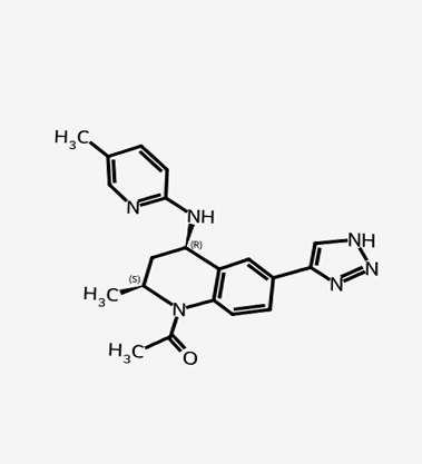 CC(=O)N1c2ccc(-c3c[nH]nn3)cc2[C@H](Nc2ccc(C)cn2)C[C@@H]1C